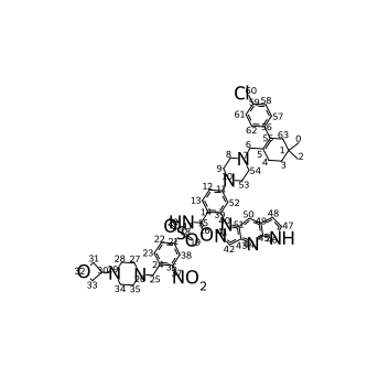 CC1(C)CCC(CN2CCN(c3ccc(C(=O)NS(=O)(=O)c4ccc(CN5CCN(C6COC6)CC5)c([N+](=O)[O-])c4)c(-n4ncc5nc6[nH]ccc6cc54)c3)CC2)=C(c2ccc(Cl)cc2)C1